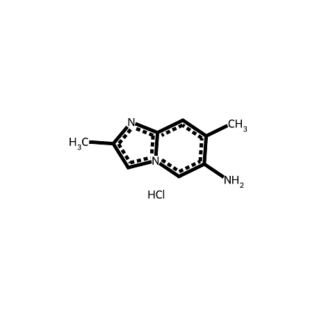 Cc1cn2cc(N)c(C)cc2n1.Cl